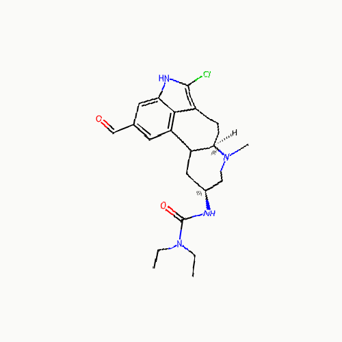 CCN(CC)C(=O)N[C@H]1CC2c3cc(C=O)cc4[nH]c(Cl)c(c34)C[C@H]2N(C)C1